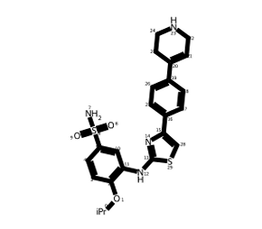 CC(C)Oc1ccc(S(N)(=O)=O)cc1Nc1nc(-c2ccc(C3=CCNCC3)cc2)cs1